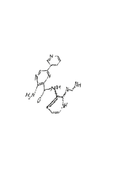 N=C/N=c1\[nH]cccc1NC(=O)c1nc(-c2cccnc2)cnc1N